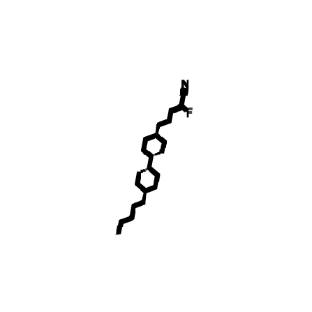 CCCCC[C@H]1CC[C@H]([C@H]2CC[C@H](CCC=C(F)C#N)CC2)CC1